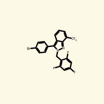 Fc1cc(F)c(Cn2nc3c(C(F)(F)F)cccc3c2-c2ccc(Br)cc2)c(F)c1